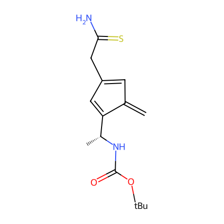 C=C1C=C(CC(N)=S)C=C1[C@@H](C)NC(=O)OC(C)(C)C